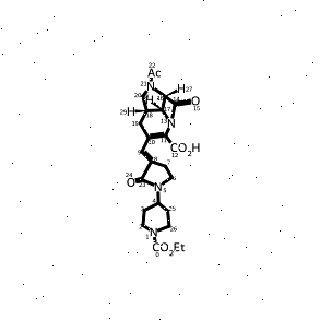 CCOC(=O)N1CCC(N2CC/C(=C\C3=C(C(=O)O)N4C(=O)[C@@H]5[C@H]4[C@H](C3)CN5C(C)=O)C2=O)CC1